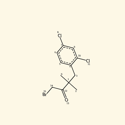 CC(C)(Cc1ccc(Cl)cc1Cl)C(=O)CBr